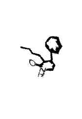 CCCCc1c(-c2ccccc2)cc[nH]c1=O